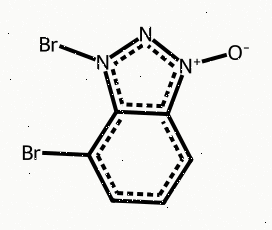 [O-][n+]1nn(Br)c2c(Br)cccc21